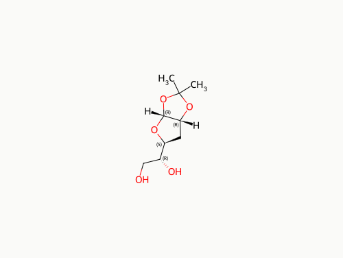 CC1(C)O[C@H]2O[C@H]([C@H](O)CO)C[C@H]2O1